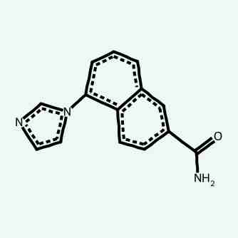 NC(=O)c1ccc2c(-n3ccnc3)cccc2c1